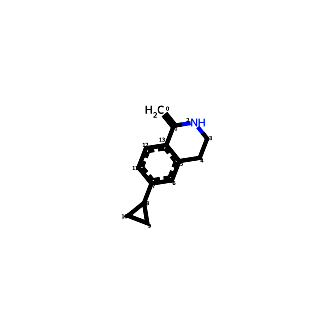 C=C1NCCc2cc(C3CC3)ccc21